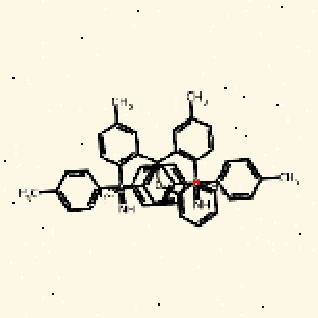 Cc1ccc(P(=N)(c2ccc(C)cc2)c2ccc(C)cc2C(Oc2ccccc2)c2cc(C)ccc2P(=N)(c2ccc(C)cc2)c2ccc(C)cc2)cc1